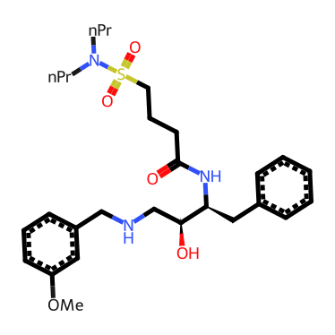 CCCN(CCC)S(=O)(=O)CCCC(=O)N[C@@H](Cc1ccccc1)[C@@H](O)CNCc1cccc(OC)c1